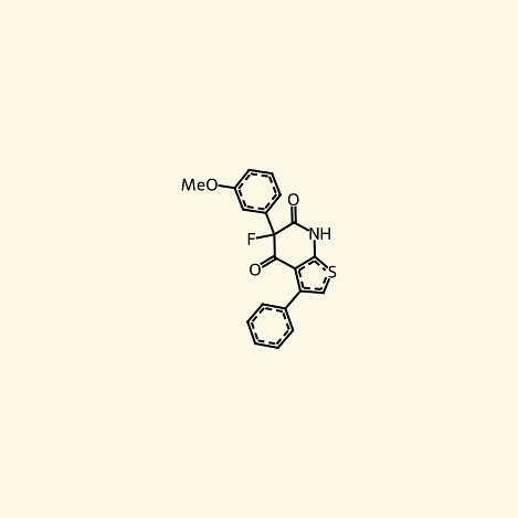 COc1cccc(C2(F)C(=O)Nc3scc(-c4ccccc4)c3C2=O)c1